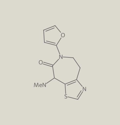 CNC1C(=O)N(c2ccco2)CCc2ncsc21